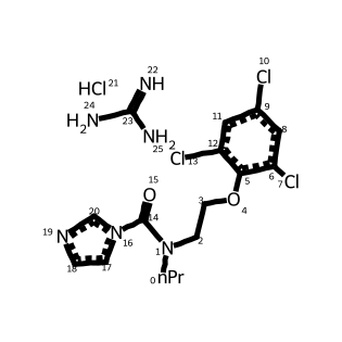 CCCN(CCOc1c(Cl)cc(Cl)cc1Cl)C(=O)n1ccnc1.Cl.N=C(N)N